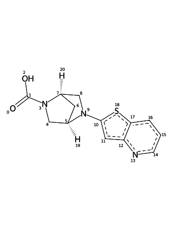 O=C(O)N1C[C@H]2C[C@@H]1CN2c1cc2ncccc2s1